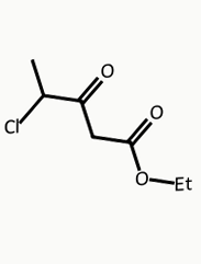 CCOC(=O)CC(=O)C(C)Cl